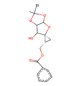 CCC1(C)OC2O[C@]3(C[C@@H]3COC(=O)c3ccccc3)C(O)C2O1